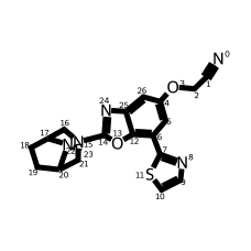 N#CCOc1cc(-c2nccs2)c2oc(N3CC4CCC(C3)N4F)nc2c1